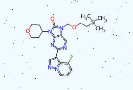 C[Si](C)(C)CCOCn1c(=O)n(C2CCOCC2)c2nc(-c3cnn4cccc(F)c34)ncc21